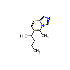 CCCC(C)c1ccc2cncn2c1C